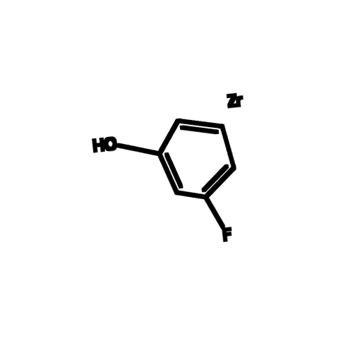 Oc1cccc(F)c1.[Zr]